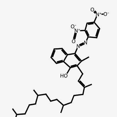 C/C(=C\Cc1c(C)c(/N=N/c2ccc([N+](=O)[O-])cc2[N+](=O)[O-])c2ccccc2c1O)CCCC(C)CCCC(C)CCCC(C)C